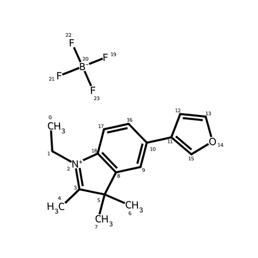 CC[N+]1=C(C)C(C)(C)c2cc(-c3ccoc3)ccc21.F[B-](F)(F)F